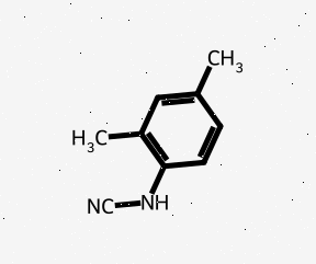 Cc1ccc(NC#N)c(C)c1